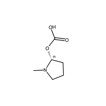 CN1CCC[C@H]1OC(=O)O